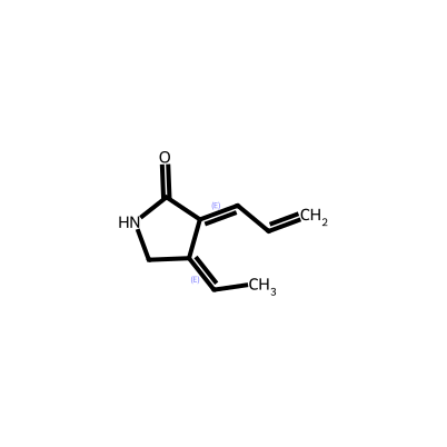 C=C/C=C1/C(=O)NC/C1=C/C